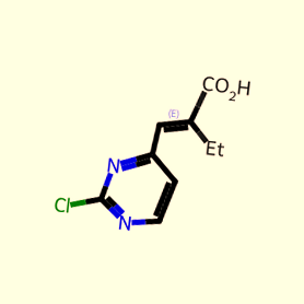 CC/C(=C\c1ccnc(Cl)n1)C(=O)O